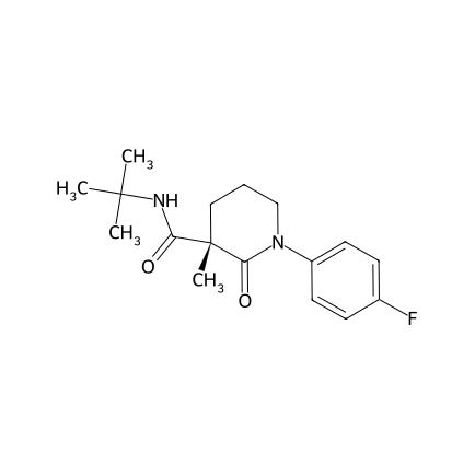 CC(C)(C)NC(=O)[C@]1(C)CCCN(c2ccc(F)cc2)C1=O